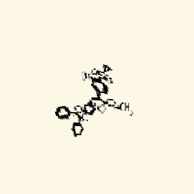 CCOC(=O)C(=C[C@H]1CCC2(C1)O[C@H](c1ccccc1)[C@@H](c1ccccc1)O2)c1ccc(S(=O)(=O)C2CC2)c(Br)c1